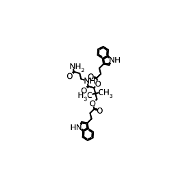 CC(C)(COC(=O)CCc1c[nH]c2ccccc12)C(OC(=O)CCc1c[nH]c2ccccc12)C(=O)NCCC(N)=O